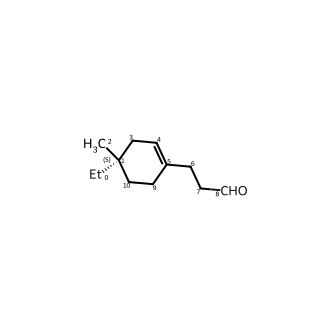 CC[C@]1(C)CC=C(CCC=O)CC1